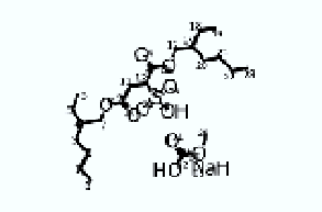 CCCCC(CC)COC(=O)CC(C(=O)OCC(CC)CCCC)S(=O)(=O)O.COC(=O)O.[NaH]